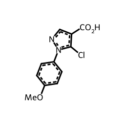 COc1ccc(-n2ncc(C(=O)O)c2Cl)cc1